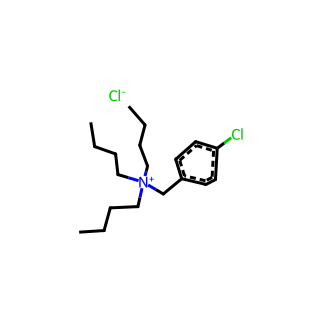 CCCC[N+](CCCC)(CCCC)Cc1ccc(Cl)cc1.[Cl-]